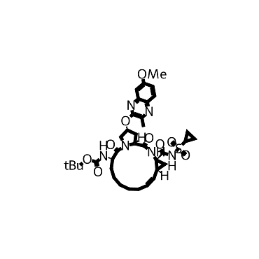 COc1ccc2nc(C)c(O[C@@H]3C[C@H]4C(=O)N[C@]5(C(=O)NS(=O)(=O)C6CC6)C[C@H]5/C=C\CCCCC[C@H](NC(=O)OC(C)(C)C)C(=O)N4C3)nc2c1